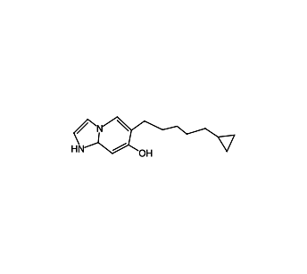 OC1=CC2NC=CN2C=C1CCCCCC1CC1